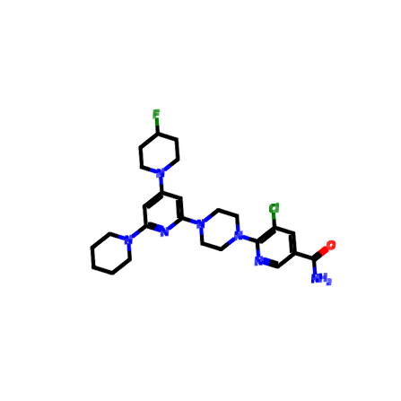 NC(=O)c1cnc(N2CCN(c3cc(N4CCC(F)CC4)cc(N4CCCCC4)n3)CC2)c(Cl)c1